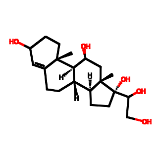 C[C@]12CCC(O)C=C1CC[C@@H]1[C@@H]2[C@@H](O)C[C@@]2(C)[C@H]1CC[C@]2(O)C(O)CO